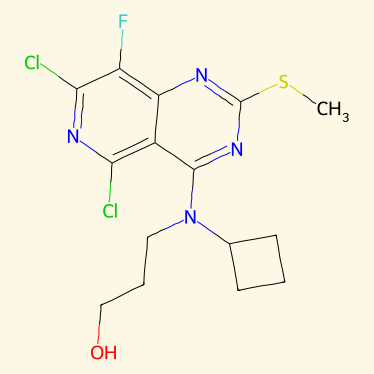 CSc1nc(N(CCCO)C2CCC2)c2c(Cl)nc(Cl)c(F)c2n1